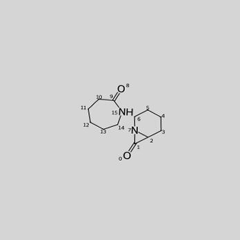 O=C1C2CCCCN12.O=C1CCCCCN1